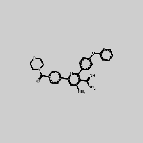 N=C(N)c1c(N)cc(-c2ccc(C(=O)N3CCOCC3)cc2)nc1-c1ccc(Oc2ccccc2)cc1